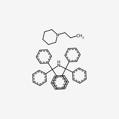 CCCN1CCCCC1.c1ccc(C(NC(c2ccccc2)(c2ccccc2)c2ccccc2)(c2ccccc2)c2ccccc2)cc1